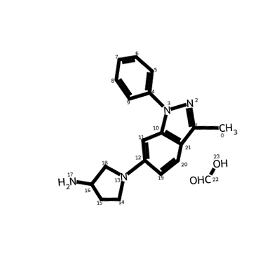 Cc1nn(-c2ccccc2)c2cc(N3CCC(N)C3)ccc12.O=CO